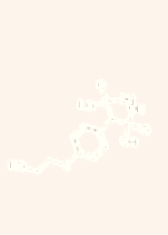 O=P(O)(O)C(c1ccc(SCCO)cc1)P(=O)(O)O